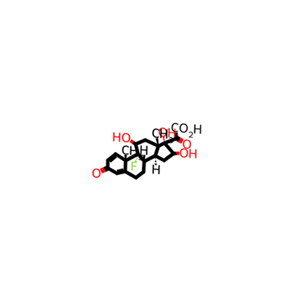 C[C@]12C=CC(=O)C=C1CC[C@H]1[C@@H]3CC(O)[C@](O)(C(=O)C(=O)O)[C@@]3(C)CC(O)[C@@]12F